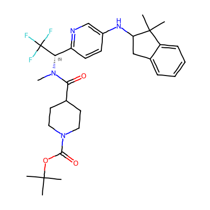 CN(C(=O)C1CCN(C(=O)OC(C)(C)C)CC1)[C@@H](c1ccc(NC2Cc3ccccc3C2(C)C)cn1)C(F)(F)F